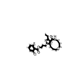 CCc1nn(CCCOC(=O)c2c(F)cccc2Cl)c2c1C(=O)NCCCOCCC2